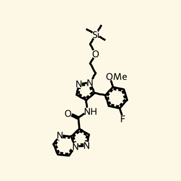 COc1ccc(F)cc1-c1c(NC(=O)c2cnn3cccnc23)cnn1CCOC[Si](C)(C)C